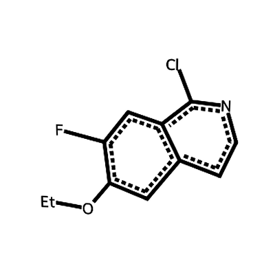 CCOc1cc2ccnc(Cl)c2cc1F